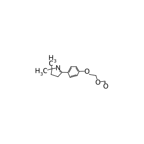 CC1(C)CCC(c2ccc(OCCOC=O)cc2)=N1